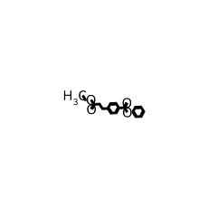 CCOC(=O)CCc1ccc(C(=O)Oc2ccccc2)cc1